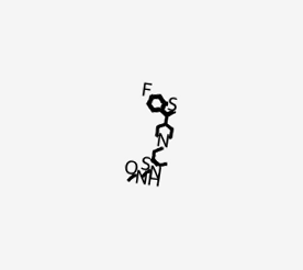 CC(=O)Nc1nc(C)c(CCN2CCC(c3csc4cc(F)ccc34)CC2)s1